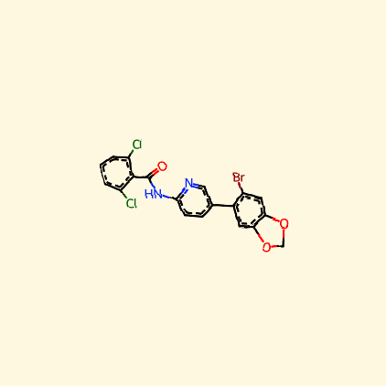 O=C(Nc1ccc(-c2cc3c(cc2Br)OCO3)cn1)c1c(Cl)cccc1Cl